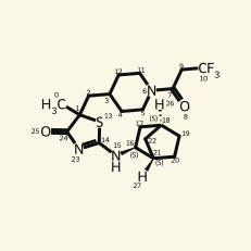 CC1(CC2CCN(C(=O)CC(F)(F)F)CC2)SC(N[C@H]2C[C@H]3CC[C@H]2C3)=NC1=O